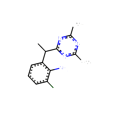 COc1nc(OC)nc(C(C)c2cccc(F)c2N)n1